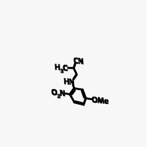 COc1ccc([N+](=O)[O-])c(NCC(C)C#N)c1